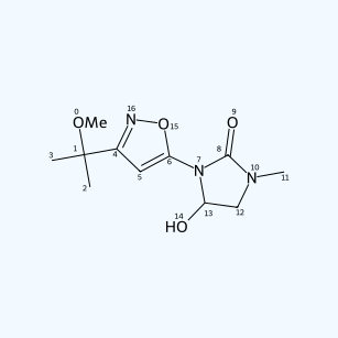 COC(C)(C)c1cc(N2C(=O)N(C)CC2O)on1